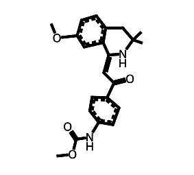 COC(=O)Nc1ccc(C(=O)C=C2NC(C)(C)Cc3ccc(OC)cc32)cc1